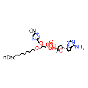 CCCCCCCCCCCCCCCCCCOCC(COP(=O)(O)OC[C@]1(C)CC[C@H](c2ccc3c(N)ncnn23)O1)OCc1cnc(C#N)cn1